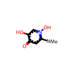 CNc1cc(=O)c(O)cn1O